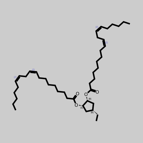 CCCCC/C=C\C/C=C\CCCCCCCC(=O)O[C@H]1C[C@@H](CC)C[C@H]1OC(=O)CCCCCCC/C=C\C/C=C\CCCCC